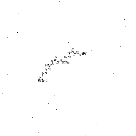 CCCCCCCCCCCCCCCCNCCC(C)CCCC(C)CCCC(C)CCCC(C)C